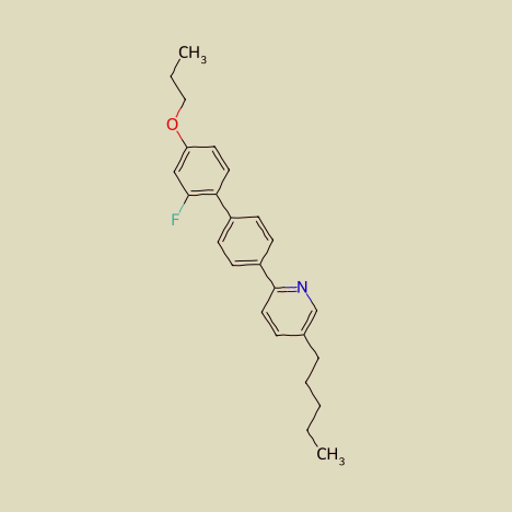 CCCCCc1ccc(-c2ccc(-c3ccc(OCCC)cc3F)cc2)nc1